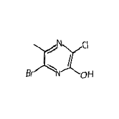 Cc1nc(Cl)c(O)nc1Br